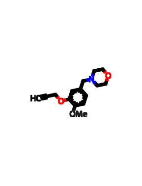 C#CCOc1cc(CN2CCOCC2)ccc1OC